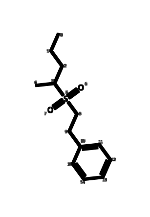 CCCC(C)S(=O)(=O)CCc1ccccc1